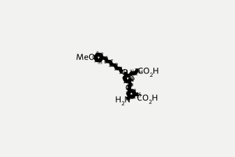 COc1ccc(CCCCCCCCOc2ccc(COc3cc(N)cc(CC(=O)O)c3)nc2C=CCC(=O)O)cc1